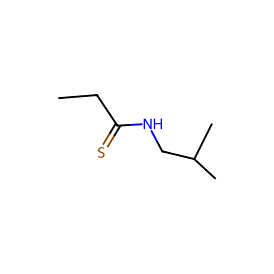 CCC(=S)NCC(C)C